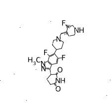 Cn1nc(C2CCC(=O)NC2=O)c2cc(F)c(C3CCN(C[C@@H]4CCNC[C@@H]4F)CC3)c(F)c21